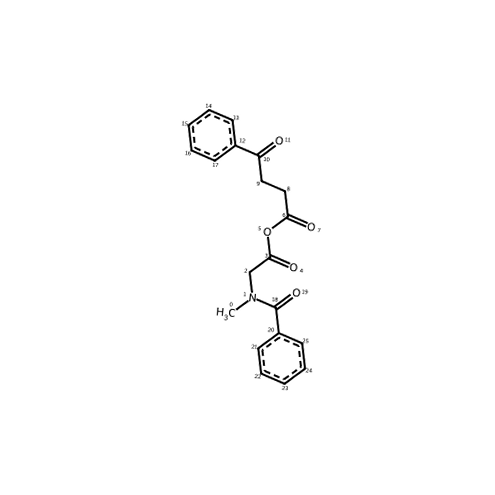 CN(CC(=O)OC(=O)CCC(=O)c1ccccc1)C(=O)c1ccccc1